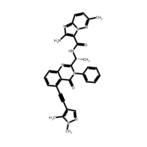 Cc1ccc2nc(N)c(C(=O)N[C@H](C)c3nc4cccc(C#Cc5cnn(C)c5C)c4c(=O)n3-c3ccccc3)n2n1